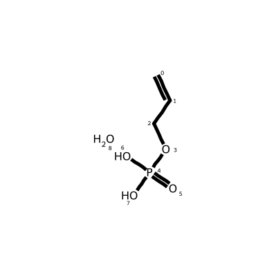 C=CCOP(=O)(O)O.O